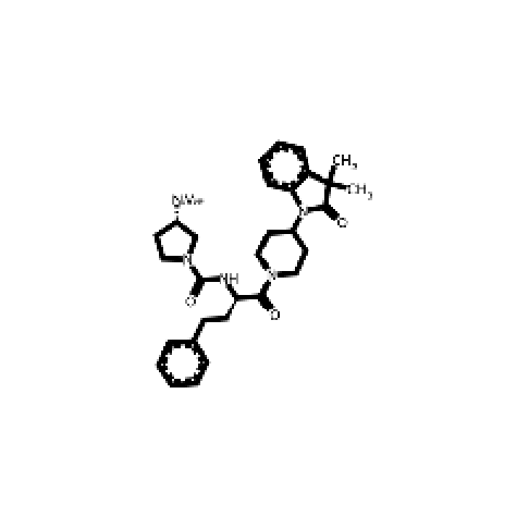 CN[C@H]1CCN(C(=O)N[C@H](CCc2ccccc2)C(=O)N2CCC(N3C(=O)C(C)(C)c4ccccc43)CC2)C1